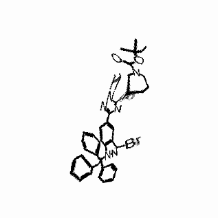 CC(C)(C)OC(=O)N1CCC[C@@H](c2nc(-c3ccc4c(c3)c(Br)nn4C(c3ccccc3)(c3ccccc3)c3ccccc3)n[nH]2)C1